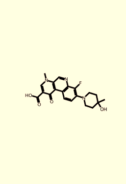 Cn1cc(C(=O)O)c(=O)c2c3ccc(N4CCC(C)(O)CC4)c(F)c3ncc21